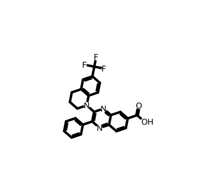 O=C(O)c1ccc2nc(-c3ccccc3)c(N3CCCc4cc(C(F)(F)F)ccc43)nc2c1